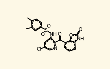 Cc1ccc(S(=O)(=O)Nc2cc(Cl)cnc2C(=O)c2cccc3[nH]c(=O)oc23)cc1C